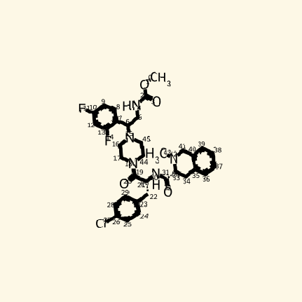 COC(=O)NCC(c1ccc(F)cc1F)N1CCN(C(=O)[C@@H](Cc2ccc(Cl)cc2)NC(=O)[C@H]2Cc3ccccc3CN2C)CC1